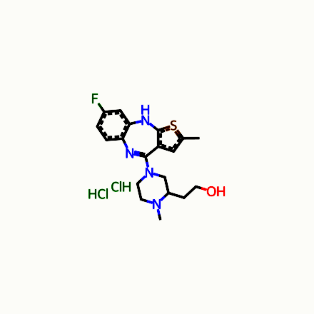 Cc1cc2c(s1)Nc1cc(F)ccc1N=C2N1CCN(C)C(CCO)C1.Cl.Cl